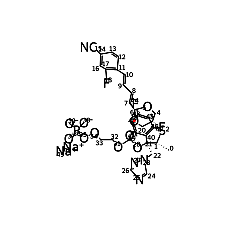 C[C@@H](S[C@H]1CO[C@H](C=CC=Cc2ccc(C#N)cc2F)OC1)[C@@](Cn1cncn1)(OC(=O)OCCOOP(=O)([O-])[O-])c1ccc(F)cc1F.[Na+].[Na+]